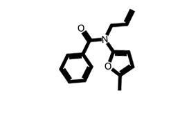 C=CCN(C(=O)c1ccccc1)c1ccc(C)o1